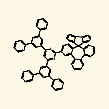 c1ccc(-c2cc(-c3ccccc3)cc(-c3cc(-c4cc(-c5ccccc5)cc(-c5ccccc5)c4)nc(-c4ccc5c(c4)-c4ccccc4-c4ccccc4C54c5ccccc5-c5ccccc54)n3)c2)cc1